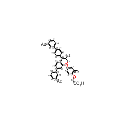 CCC(COc1ccc(OCC(=O)O)c(C)c1)=C(c1ccc(-c2cccc(C(C)=O)c2)cc1)c1ccc(-c2cccc(C(C)=O)c2)cc1